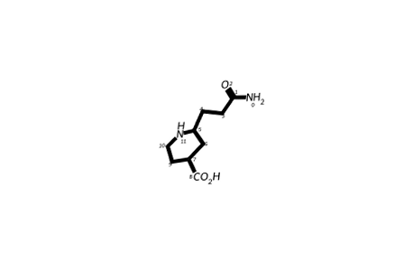 NC(=O)CCC1CC(C(=O)O)CCN1